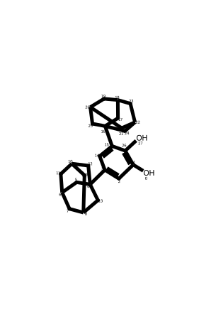 Oc1cc(C23CC4CC(CC(C4)C2)C3)cc(C23CC4CC(CC(C4)C2)C3)c1O